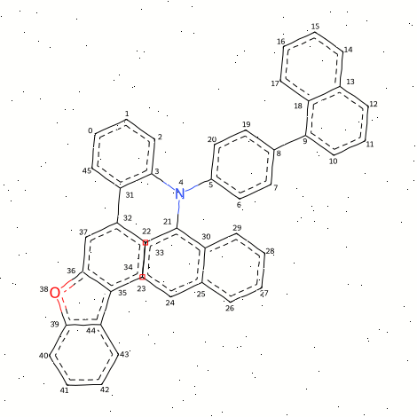 c1ccc(N(c2ccc(-c3cccc4ccccc34)cc2)c2cccc3ccccc23)c(-c2ccc3c(c2)oc2ccccc23)c1